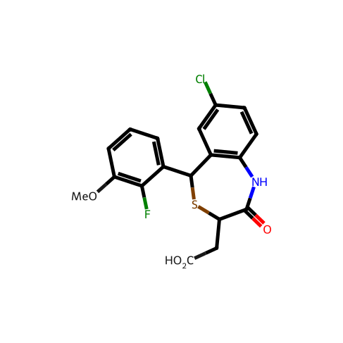 COc1cccc(C2SC(CC(=O)O)C(=O)Nc3ccc(Cl)cc32)c1F